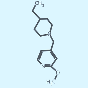 CCC1CCN(Cc2ccnc(OC)c2)CC1